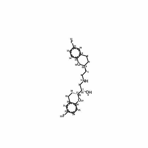 O[C@@H](CNCC[C@@H]1CCc2cc(F)ccc2O1)[C@H]1CCc2cc(F)ccc2O1